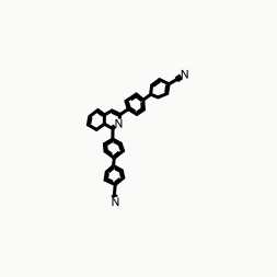 N#CC1=CCC(c2ccc(C3=CC4=CC=CCC4C(c4ccc(-c5ccc(C#N)cc5)cc4)=N3)cc2)C=C1